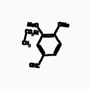 CCOC(C)=O.COc1ccc(C=O)cc1OC